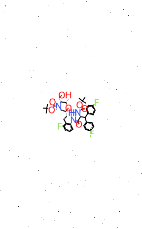 C[C@@H]1O[C@H](CCc2c(F)cccc2NC(=O)C(NC(=O)OC(C)(C)C)C(c2ccc(F)cc2)c2ccc(F)cc2)CN(C(=O)OC(C)(C)C)[C@@H]1CO